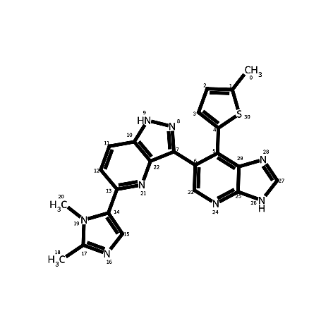 Cc1ccc(-c2c(-c3n[nH]c4ccc(-c5cnc(C)n5C)nc34)cnc3[nH]cnc23)s1